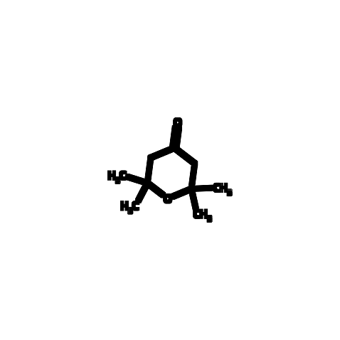 CC1(C)CC(=O)CC(C)(C)O1